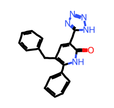 O=c1[nH]c(-c2ccccc2)c(Cc2ccccc2)cc1-c1nnn[nH]1